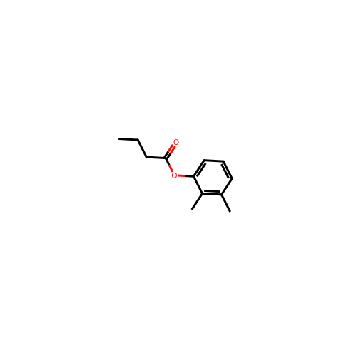 CCCC(=O)Oc1cccc(C)c1C